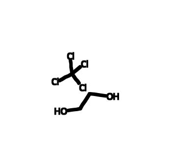 ClC(Cl)(Cl)Cl.OCCO